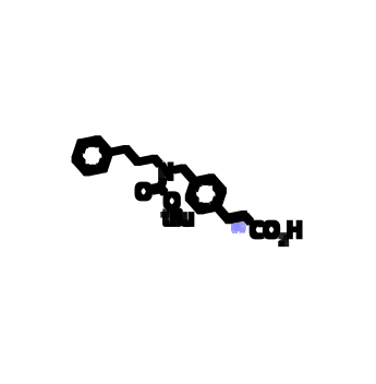 CC(C)(C)OC(=O)N(CCCc1ccccc1)Cc1ccc(/C=C/C(=O)O)cc1